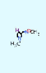 CCN1C=CC=C(C=NOC)C1.I